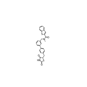 CN(Cc1cccc(-c2ccc(CC3SC(=O)NC3=O)cc2)c1)C(=O)c1cc2ccccc2s1